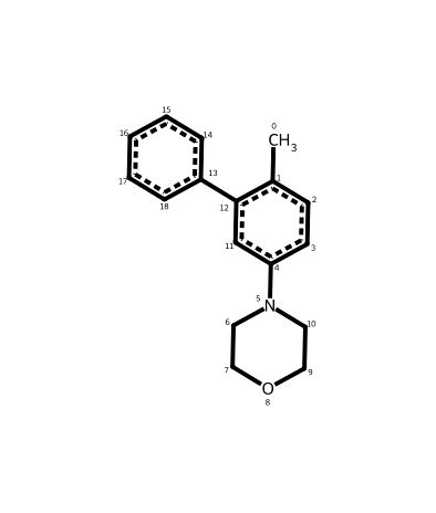 Cc1ccc(N2CCOCC2)cc1-c1ccccc1